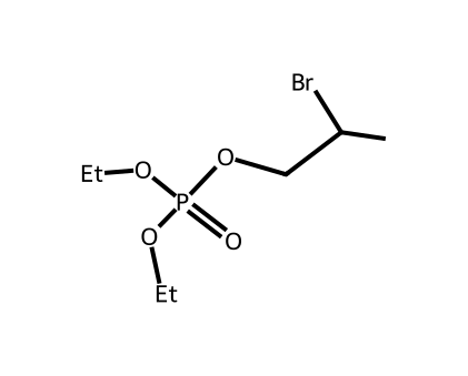 CCOP(=O)(OCC)OCC(C)Br